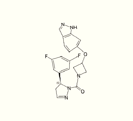 O=C(N1CC(Oc2ccc3cn[nH]c3c2)C1)N1N=CC[C@H]1c1cc(F)cc(F)c1